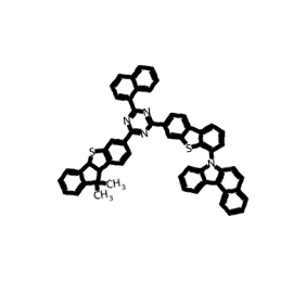 CC1(C)c2ccccc2C2Sc3cc(-c4nc(-c5ccc6c(c5)sc5c(-n7c8ccccc8c8c9ccccc9ccc87)cccc56)nc(-c5cccc6ccccc56)n4)ccc3C21